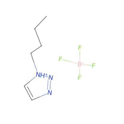 CCCC[NH+]1C=CN=N1.F[B-](F)(F)F